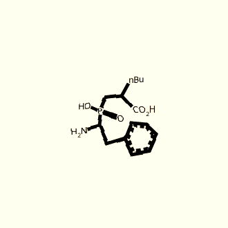 CCCCC(CP(=O)(O)C(N)Cc1ccccc1)C(=O)O